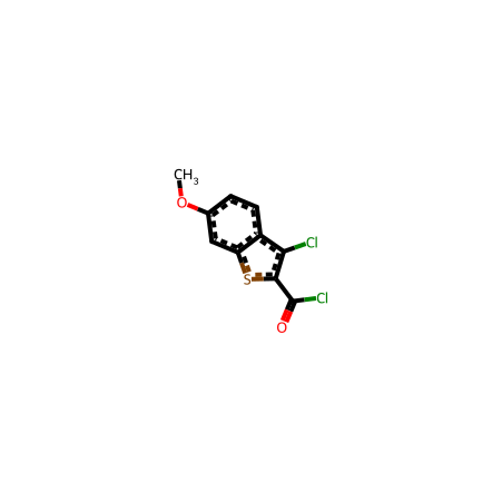 COc1ccc2c(Cl)c(C(=O)Cl)sc2c1